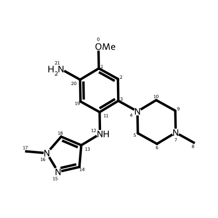 COc1cc(N2CCN(C)CC2)c(Nc2cnn(C)c2)cc1N